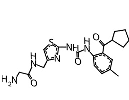 Cc1ccc(NC(=O)Nc2nc(CNC(=O)CN)cs2)c(C(=O)C2CCCC2)c1